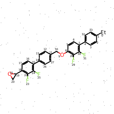 CCc1ccc(-c2ccc(OCc3ccc(-c4ccc(C5CO5)c(F)c4F)cc3)c(F)c2F)cc1